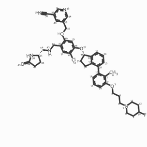 Cc1c(OCCCN2CCC(F)CC2)cccc1-c1cccc2c1CC[C@@H]2Oc1cc(OCc2cncc(C#N)c2)c(CNC[C@@H]2CCC(=O)N2)cc1Cl